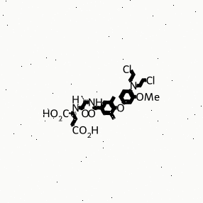 COc1cc(Oc2c(C)cc(C(=O)N[C@@H](C)C(=O)N[C@@H](CCC(=O)O)C(=O)O)cc2C)ccc1N(CCCl)CCCl